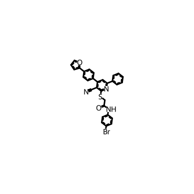 N#Cc1c(-c2ccc(-c3ccco3)cc2)cc(-c2ccccc2)nc1SCC(=O)Nc1ccc(Br)cc1